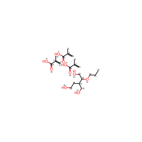 C=C(C)C(=O)O.C=C(C)C(=O)O.C=C(C)C(=O)O.CCCOC(CO)C(CO)CCO